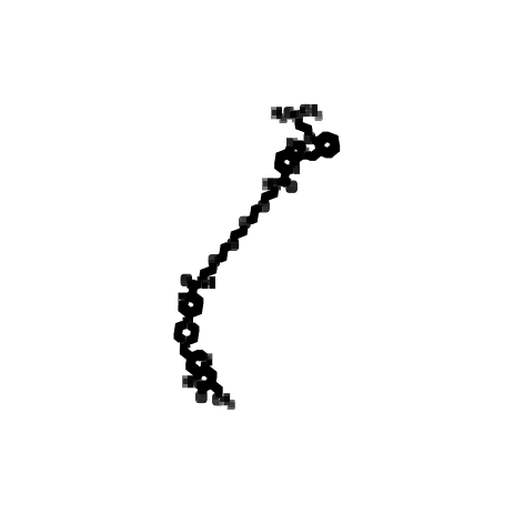 CCc1cc2ncc(CN3CCN(c4ccc(C(=O)NCCOCCOCCOCCOCCNC(=O)c5ccc6ncn(Cc7ccccc7OCCN(C)C)c6n5)nc4)CC3)cc2[nH]c1=O